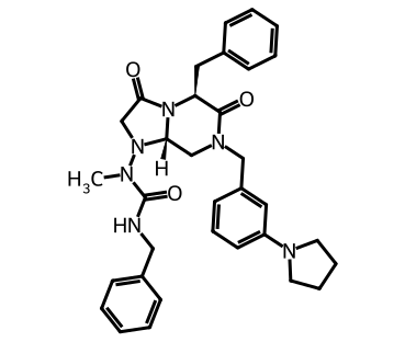 CN(C(=O)NCc1ccccc1)N1CC(=O)N2[C@@H](Cc3ccccc3)C(=O)N(Cc3cccc(N4CCCC4)c3)C[C@@H]21